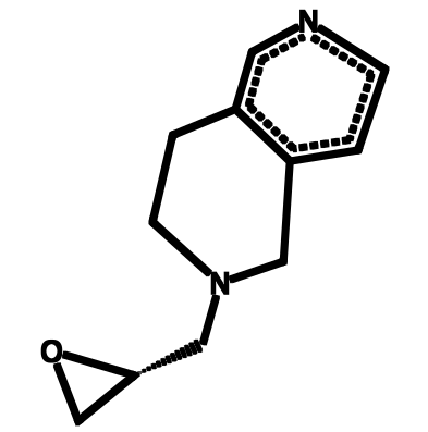 c1cc2c(cn1)CCN(C[C@@H]1CO1)C2